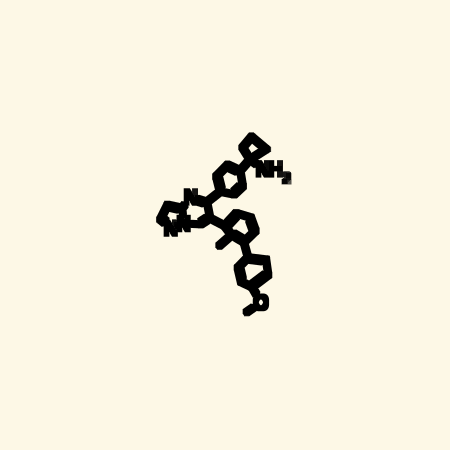 COc1ccc(-c2cccc(-c3cn4nccc4nc3-c3ccc(C4(N)CCC4)cc3)c2C)cc1